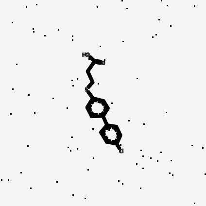 O=C(O)CCSc1ccc(-c2ccc(Cl)cc2)cc1